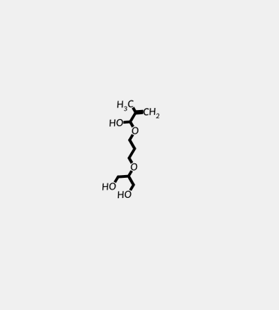 C=C(C)C(O)OCCCOC(CO)CO